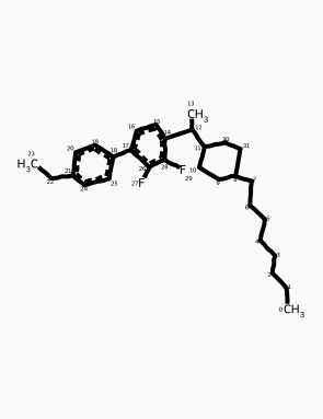 CCCCCCCCC1CCC(C(C)c2ccc(-c3ccc(CC)cc3)c(F)c2F)CC1